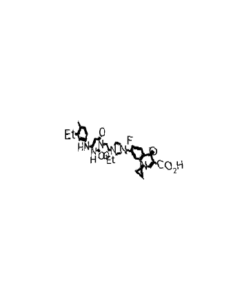 CCOC(Cn1c(=O)cc(Nc2ccc(C)c(CC)c2)[nH]c1=O)N1CCN(c2cc3c(cc2F)c(=O)c(C(=O)O)cn3C2CC2)CC1